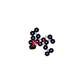 FC(F)(F)c1ccc(-c2cc(-c3nc(-c4ccccc4)nc(-c4ccccc4)n3)ccc2-n2c3ccc(-n4c5ccccc5c5ccccc54)cc3c3cc(-n4c5ccccc5c5ccccc54)ccc32)c(-n2c3ccc(-n4c5ccccc5c5ccccc54)cc3c3cc(-n4c5ccccc5c5ccccc54)ccc32)c1